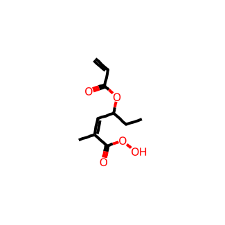 C=CC(=O)OC(C=C(C)C(=O)OO)CC